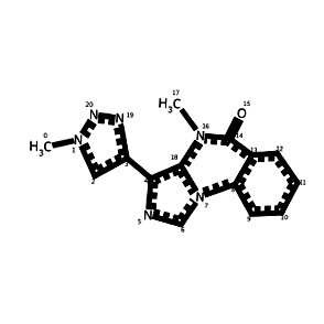 Cn1cc(-c2ncn3c4ccccc4c(=O)n(C)c23)nn1